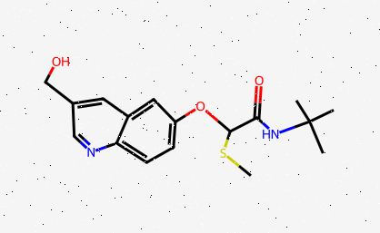 CSC(Oc1ccc2ncc(CO)cc2c1)C(=O)NC(C)(C)C